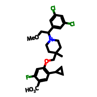 COCC(c1cc(Cl)cc(Cl)c1)N1CCC(C)(COc2cc(F)c(C(=O)O)cc2C2CC2)CC1